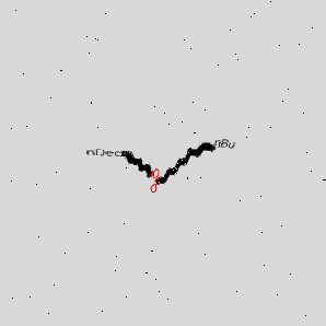 CCCCC=CCCCCCCCC(=O)OCCCCCCCCCCCCCCCC